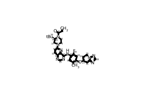 C=CC(=O)N1CCN(c2ccc3ncnc(Nc4cc(C)c(Oc5ccn6ncnc6c5)cc4F)c3n2)C[C@H]1C(C)(C)C